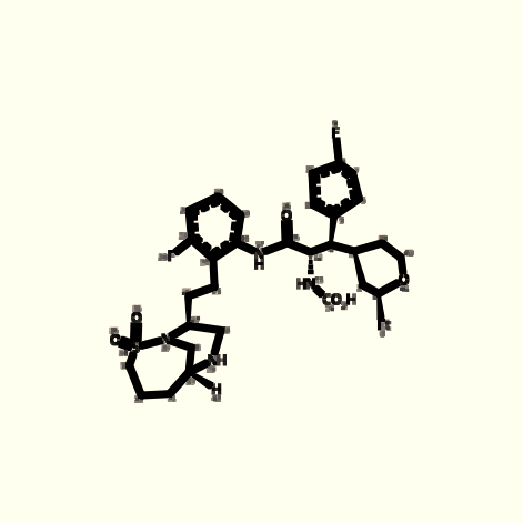 CC[C@H]1C[C@@H]([C@H](c2ccc(F)cc2)[C@H](NC(=O)O)C(=O)Nc2cccc(F)c2CC[C@H]2CN[C@@H]3CCCS(=O)(=O)N2C3)CCO1